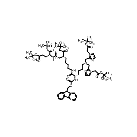 CC(C)(C)CC(=O)[C@H](CCCCNC(=O)[C@H](CCCCN(Cc1nccn1CC(=O)OC(C)(C)C)Cc1nccn1CC(=O)OC(C)(C)C)NC(=O)OCC1c2ccccc2-c2ccccc21)NC(=O)N[C@@H](CCC(=O)OC(C)(C)C)C(=O)OC(C)(C)C